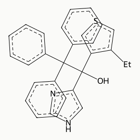 CCc1cscc1C(O)(c1c[nH]cn1)C(c1ccccc1)(c1ccccc1)c1ccccc1